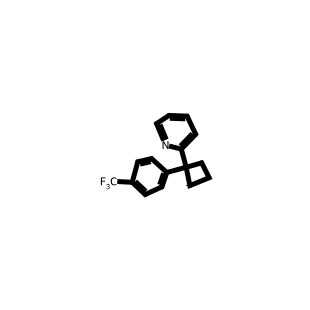 FC(F)(F)c1ccc(C2(c3ccccn3)[CH]CC2)cc1